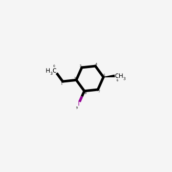 CCC1CC[C@@H](C)CC1I